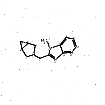 Cn1c(CN2CC3CC3C2)nc2ncccc21